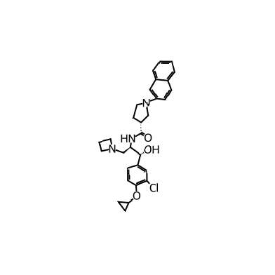 O=C(N[C@H](CN1CCC1)[C@H](O)c1ccc(OC2CC2)c(Cl)c1)[C@@H]1CCN(c2ccc3ccccc3c2)C1